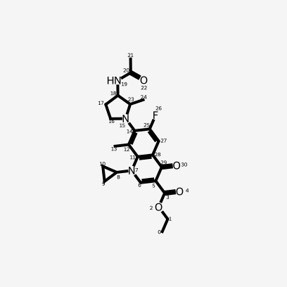 CCOC(=O)c1cn(C2CC2)c2c(C)c(N3CCC(NC(C)=O)C3C)c(F)cc2c1=O